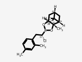 Cc1ccc(C[C@@H](Cl)B2O[C@@H]3C[C@@H]4C[C@@H](C4(C)C)[C@]3(C)O2)c(C)c1